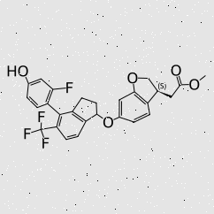 COC(=O)C[C@@H]1COc2cc(OC3CCc4c3ccc(C(F)(F)F)c4-c3ccc(O)cc3F)ccc21